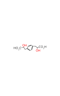 O=C(O)C(O)Cc1ccc(CC(O)C(=O)O)cc1